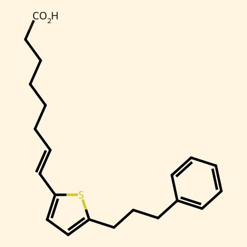 O=C(O)CCCCCC=Cc1ccc(CCCc2ccccc2)s1